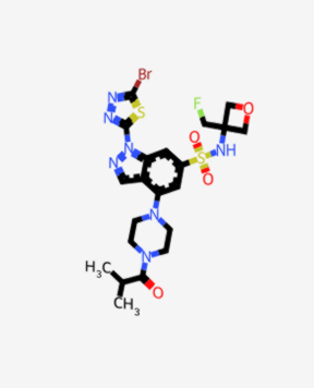 CC(C)C(=O)N1CCN(c2cc(S(=O)(=O)NC3(CF)COC3)cc3c2cnn3-c2nnc(Br)s2)CC1